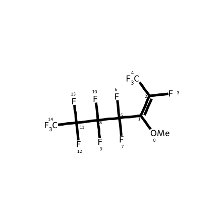 COC(=C(F)C(F)(F)F)C(F)(F)C(F)(F)C(F)(F)C(F)(F)F